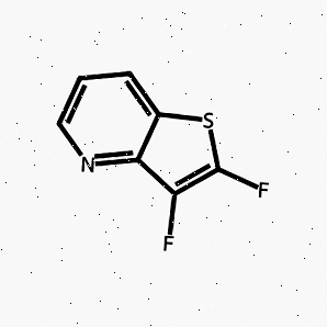 Fc1sc2cccnc2c1F